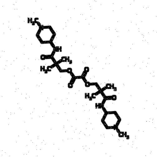 CN1CCC(NC(=O)C(C)(C)COC(=O)C(=O)OCC(C)(C)C(=O)NC2CCN(C)CC2)CC1